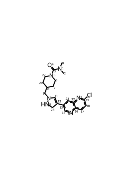 CN(C)C(=O)N1CCC(CN2C=C(c3cnc4ccc(Cl)nc4c3)CN2)CC1